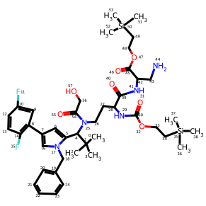 CC(C)(C)C(c1cc(-c2cc(F)ccc2F)cn1Cc1ccccc1)N(CCC(NC(=O)OCC[Si](C)(C)C)C(=O)NC(CN)C(=O)OCC[Si](C)(C)C)C(=O)CO